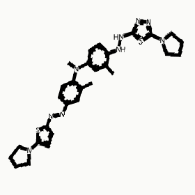 Cc1cc(N(C)c2ccc(/N=N/c3ccc(N4CCCC4)s3)cc2C)ccc1NNc1nnc(N2CCCC2)s1